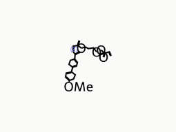 C=CC(=O)OOCCCOC(=C)/C=C\C(=C)C1=CC=C(C2=CC=C(OC)CC2)CC1